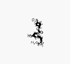 CN(C)C(=O)[C@@H]1C[C@H]1[C@@H]1C[C@H](S)CN1C(=O)OCc1ccc([N+](=O)[O-])cc1